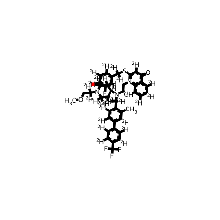 [2H]c1c([2H])c(F)c(F)c(C([2H])([2H])Sc2c([2H])c(=O)c3c([2H])c([2H])c([2H])c([2H])c3n2CC(=O)N(C([2H])([2H])c2c([2H])c([2H])c(-c3c([2H])c([2H])c(C(F)(F)F)c([2H])c3[2H])c([2H])c2C)C2([2H])C([2H])([2H])C([2H])([2H])N(C([2H])([2H])COC)C([2H])([2H])C2([2H])[2H])c1[2H]